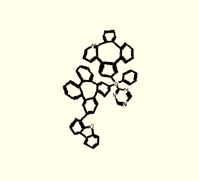 c1ccc([Si](c2ccc3c(c2)-c2ccccc2-c2ccccc2-c2cc(-c4cccc5c4oc4ccccc45)ccc2-3)(c2ccc3c(c2)-c2ccccc2-c2ccccc2-c2ncccc2-3)c2ncncn2)cc1